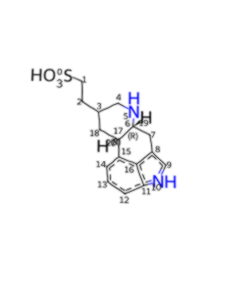 O=S(=O)(O)CCC1CN[C@@H]2Cc3c[nH]c4cccc(c34)[C@H]2C1